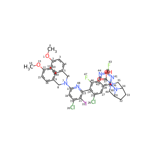 COc1ccc(CN(Cc2ccc(OC)cc2)c2cc(Cl)c(I)c(-c3c(Cl)cc4c(N5C6CCC5CN(C(=O)O)C6)nc(F)nc4c3F)n2)cc1